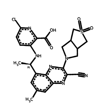 Cc1cc([C@@H](C)Nc2ccc(Cl)nc2C(=O)O)c2nc(N3CC4CS(=O)(=O)CC4C3)c(C#N)nc2c1